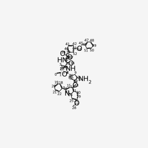 C=C[C@@H]1C[C@]1(NC(=O)[C@@H]1CC(N)[C@@H](Oc2cc(-c3ccccc3)nc3cc(OC)ccc23)C1)C(=O)NS(=O)(=O)c1cccc(OCc2ccccc2)c1